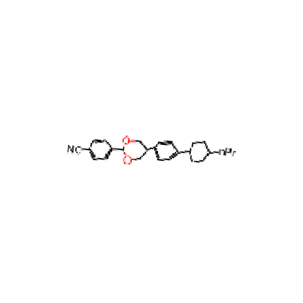 CCCC1CCC(c2ccc(C3COC(c4ccc(C#N)cc4)OC3)cc2)CC1